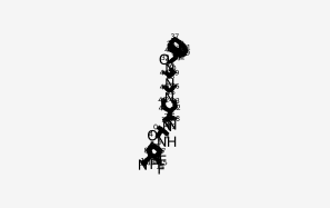 CC(C)(C(=O)Nc1ccc(C#N)c(C(F)(F)F)c1)n1cc(C2CCN(C3CN(C4CN(C(=O)CC56CC7CC(CC(C7)C5)C6)C4)C3)CC2)cn1